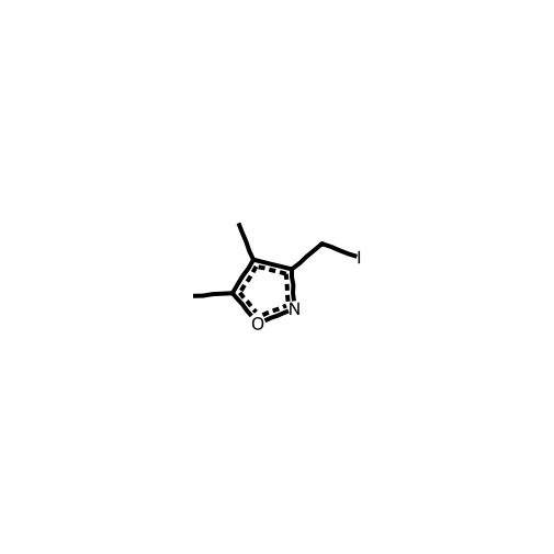 Cc1onc(CI)c1C